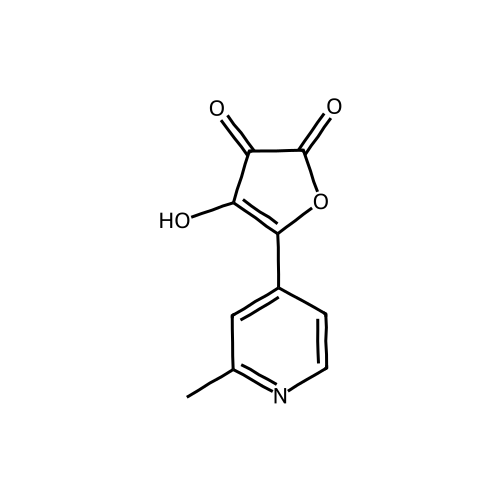 Cc1cc(C2=C(O)C(=O)C(=O)O2)ccn1